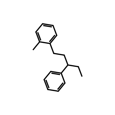 CCC(CCc1ccccc1C)c1ccccc1